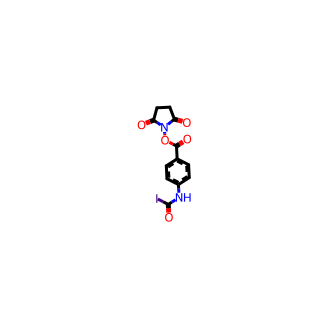 O=C(I)Nc1ccc(C(=O)ON2C(=O)CCC2=O)cc1